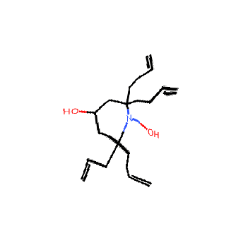 C=CCC1(CC=C)CC(O)CC(CC=C)(CC=C)N1O